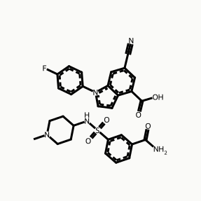 CN1CCC(NS(=O)(=O)c2cccc(C(N)=O)c2)CC1.N#Cc1cc(C(=O)O)c2ccn(-c3ccc(F)cc3)c2c1